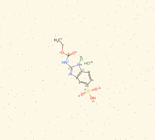 CCOC(=O)Nc1nc2cc(S(=O)(=O)O)ccc2n1Cl.Cl